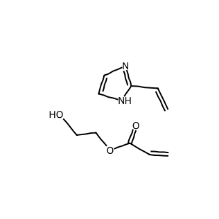 C=CC(=O)OCCO.C=Cc1ncc[nH]1